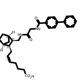 O=C(O)CCC/C=C\C[C@H]1[C@H]2CC[C@H](C2)[C@H]1CNC(=O)CNC(=O)c1ccc(-c2ccccc2)cc1